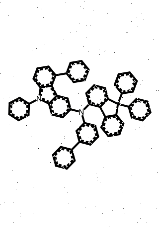 c1ccc(-c2cccc(N(c3ccc4c(c3)c3c(-c5ccccc5)cccc3n4-c3ccccc3)c3cccc4c3-c3ccccc3C4(c3ccccc3)c3ccccc3)c2)cc1